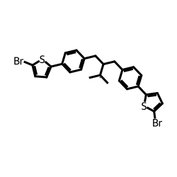 C[C](C)C(Cc1ccc(-c2ccc(Br)s2)cc1)Cc1ccc(-c2ccc(Br)s2)cc1